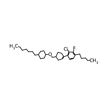 CCCCCCCC1CCC(OCC2CC=C(c3ccc(CCCCC)c(F)c3Cl)CC2)CC1